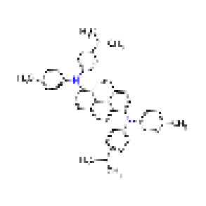 Cc1ccc(N(c2ccc(C(C)C)cc2)c2ccc3ccc4c(N(c5ccc(C)cc5)c5ccc(C(C)C)cc5)ccc5ccc2c3c54)cc1